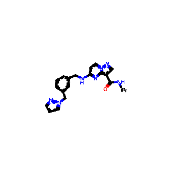 CC(C)NC(=O)c1cnn2ccc(NCc3cccc(Cn4cccn4)c3)nc12